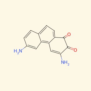 NC1=Cc2c(ccc3ccc(N)cc23)C(=O)C1=O